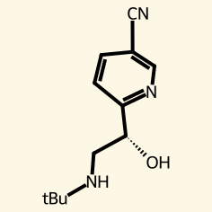 CC(C)(C)NC[C@@H](O)c1ccc(C#N)cn1